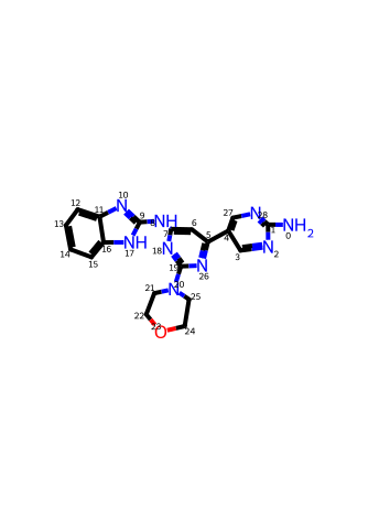 Nc1ncc(-c2cc(Nc3nc4ccccc4[nH]3)nc(N3CCOCC3)n2)cn1